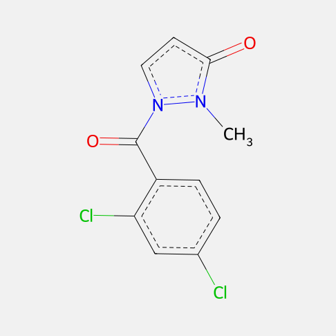 Cn1c(=O)ccn1C(=O)c1ccc(Cl)cc1Cl